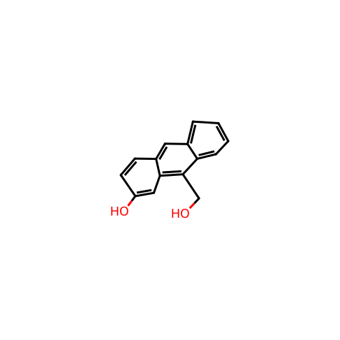 OCc1c2ccccc2cc2ccc(O)cc12